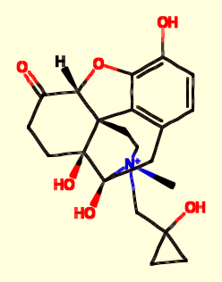 C[N@+]1(CC2(O)CC2)CC[C@]23c4c5ccc(O)c4O[C@H]2C(=O)CC[C@@]3(O)[C@@]1(O)C5